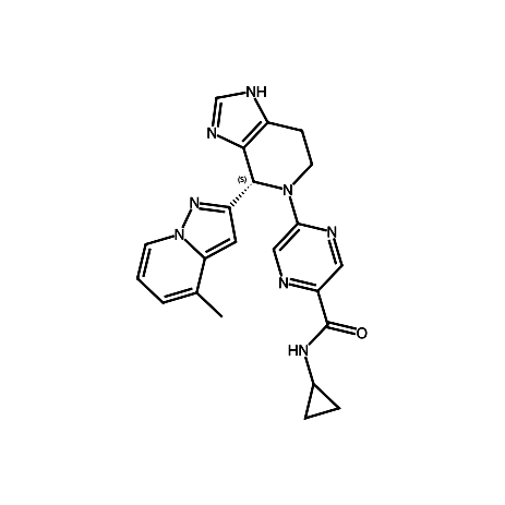 Cc1cccn2nc([C@@H]3c4nc[nH]c4CCN3c3cnc(C(=O)NC4CC4)cn3)cc12